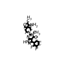 C[C@@H]1OCC2(CCN(c3nc4[nH]nc(-c5cccc(F)c5F)c4c(=O)n3C)CC2)[C@@H]1N